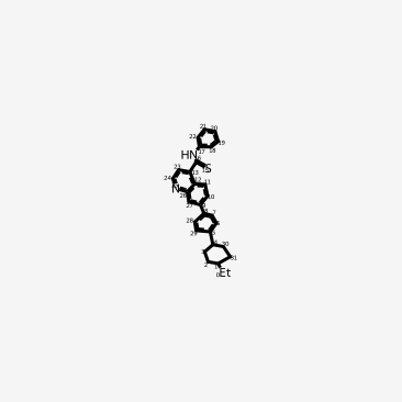 CCC1CCC(c2ccc(-c3ccc4c(C(=S)Nc5ccccc5)ccnc4c3)cc2)CC1